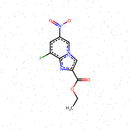 CCOC(=O)c1cn2cc([N+](=O)[O-])cc(F)c2n1